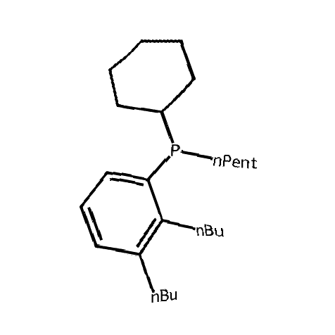 CCCCCP(c1cccc(CCCC)c1CCCC)C1CCCCC1